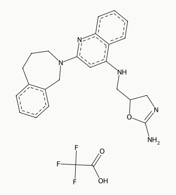 NC1=NCC(CNc2cc(N3CCCc4ccccc4C3)nc3ccccc23)O1.O=C(O)C(F)(F)F